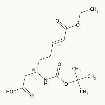 CCOC(=O)/C=C/CC[C@@H](CC(=O)O)NC(=O)OC(C)(C)C